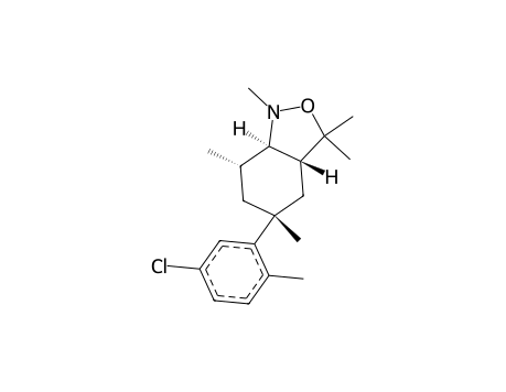 Cc1ccc(Cl)cc1[C@@]1(C)C[C@@H]2[C@@H]([C@@H](C)C1)N(C)OC2(C)C